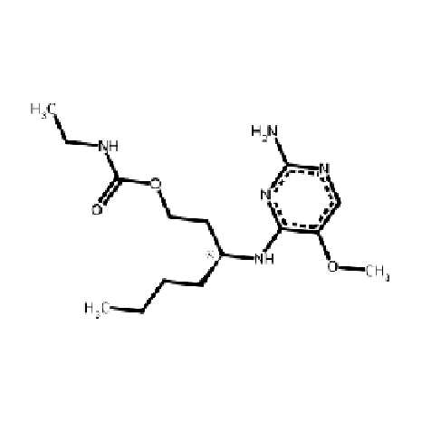 CCCC[C@@H](CCOC(=O)NCC)Nc1nc(N)ncc1OC